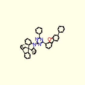 c1ccc(-c2ccc3c(c2)oc2c(-c4nc(-c5ccccc5)nc(N5c6ccccc6C6(c7ccccc7-c7ccccc76)c6ccccc65)n4)cccc23)cc1